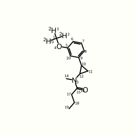 [2H]C([2H])([2H])Oc1cccc(C2CC2N(C)C(=O)CCC)c1